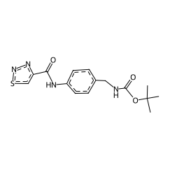 CC(C)(C)OC(=O)NCc1ccc(NC(=O)c2csnn2)cc1